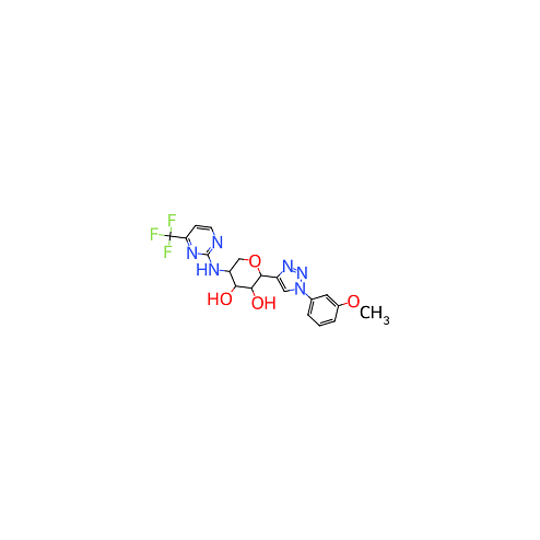 COc1cccc(-n2cc(C3OCC(Nc4nccc(C(F)(F)F)n4)C(O)C3O)nn2)c1